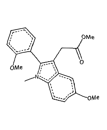 COC(=O)Cc1c(-c2ccccc2OC)n(C)c2ccc(OC)cc12